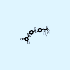 N[C@@H](Cc1ccc(OC(=O)c2ccc3nc(-c4cc(Cl)cc(Cl)c4)oc3c2)cc1)C(=O)O